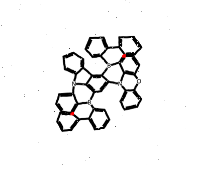 c1ccc(-c2ccccc2B2c3cccc4c3N(c3ccccc3O4)c3cc4c5c(c32)c2ccccc2n5-c2ccccc2B4c2ccccc2-c2ccccc2)cc1